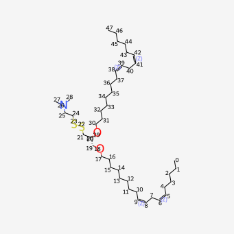 CCCCC/C=C\C/C=C\CCCCCCCCOC[C@H](CSSCCN(C)C)OCCCCCCCC/C=C\C/C=C\CCCCC